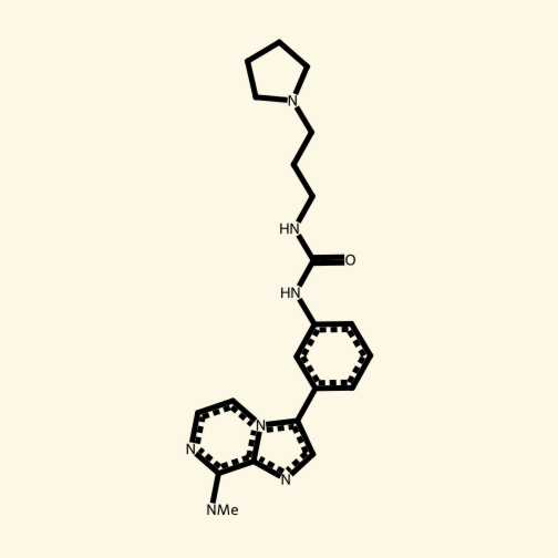 CNc1nccn2c(-c3cccc(NC(=O)NCCCN4CCCC4)c3)cnc12